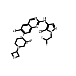 FC(F)Cn1ncc(Nc2ncc3cc(Cl)c([C@H]4CCN(C5COC5)C[C@@H]4F)cc3n2)c1Cl